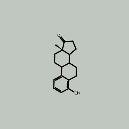 C[C@]12CCC3c4cccc(C#N)c4CCC3C1CCC2=O